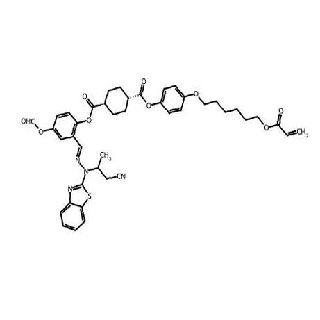 C=CC(=O)OCCCCCCOc1ccc(OC(=O)[C@H]2CC[C@H](C(=O)Oc3ccc(OC=O)cc3/C=N/N(c3nc4ccccc4s3)C(C)CC#N)CC2)cc1